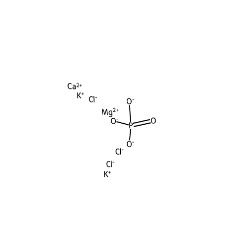 O=P([O-])([O-])[O-].[Ca+2].[Cl-].[Cl-].[Cl-].[K+].[K+].[Mg+2]